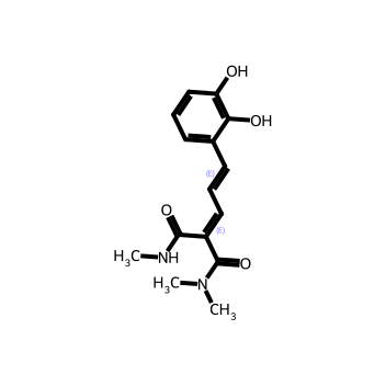 CNC(=O)/C(=C\C=C\c1cccc(O)c1O)C(=O)N(C)C